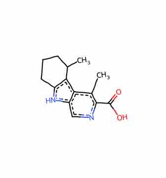 Cc1c(C(=O)O)ncc2[nH]c3c(c12)C(C)CCC3